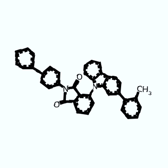 Cc1ccccc1-c1ccc2c3ccccc3n(-c3cccc4c3C(=O)N(c3ccc(-c5ccccc5)cc3)C4=O)c2c1